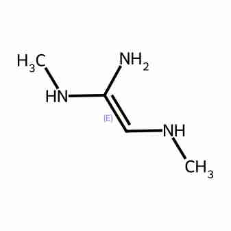 CN/C=C(\N)NC